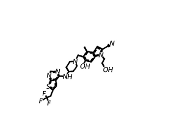 Cc1c(CN2CCC(Nc3ncnc4sc(CC(F)(F)F)cc34)CC2)c(O)cc2c1cc(C#N)n2CCO